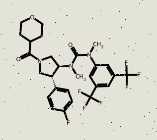 CN(C(=O)N(C)[C@@H]1CN(C(=O)C2CCOCC2)C[C@H]1c1ccc(F)cc1)c1cc(C(F)(F)F)cc(C(F)(F)F)c1